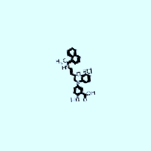 C[C@@H](NCCC1CN(c2ccc(O)c(C(=O)O)c2)c2ccccc2O1)c1cccc2ccccc12.Cl